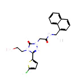 C[C@H](NC(=O)Cn1nc(-c2ccc(Cl)s2)n(CCO)c1=O)c1cccc2ccccc12